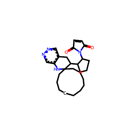 O=C1C=CC(=O)N1C1CCCC1C1Cc2cnncc2NC12CCCCCCCCCC2